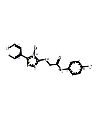 C/C=C(\C=C/CC)c1nnc(SCC(=O)Nc2ccc(CC)cc2)n1CC